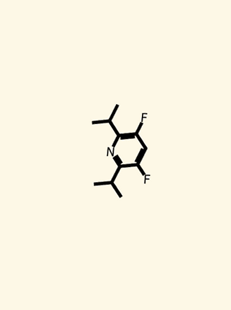 CC(C)c1nc(C(C)C)c(F)cc1F